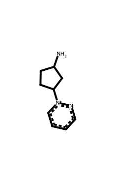 NC1CCC([n+]2ccccn2)C1